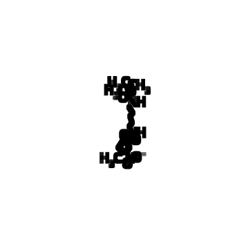 Cc1ccc(S(=O)(=O)NCCCCCNC(=O)OC(C)(C)C)cc1[N+](=O)[O-]